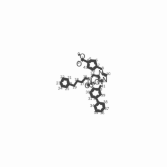 COC(=O)c1ccc(Cn2cnnc2CN(CCCCc2ccccc2)S(=O)(=O)c2ccc(-c3ccccc3)cc2C)cc1